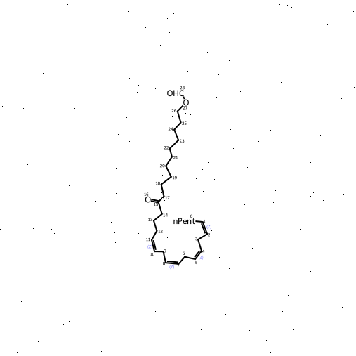 CCCCC/C=C\C/C=C\C/C=C\C/C=C\CCCC(=O)CCCCCCCCCCOC=O